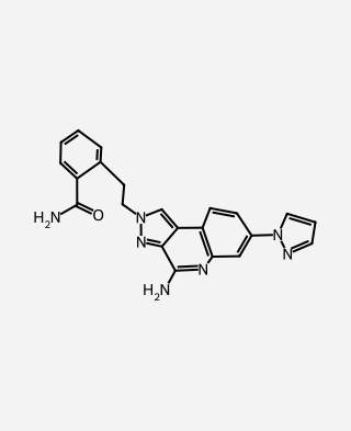 NC(=O)c1ccccc1CCn1cc2c(n1)c(N)nc1cc(-n3cccn3)ccc12